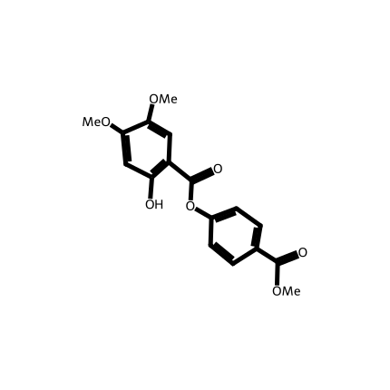 COC(=O)c1ccc(OC(=O)c2cc(OC)c(OC)cc2O)cc1